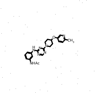 CC(=O)Nc1cccc(Nc2ncnc(N3CCC(Oc4ccc(C)nc4)CC3)n2)c1